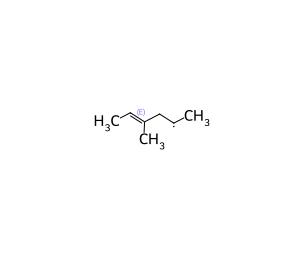 C[CH]C/C(C)=C/C